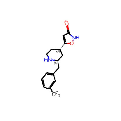 O=c1cc([C@H]2CCN[C@H](Cc3cccc(C(F)(F)F)c3)C2)o[nH]1